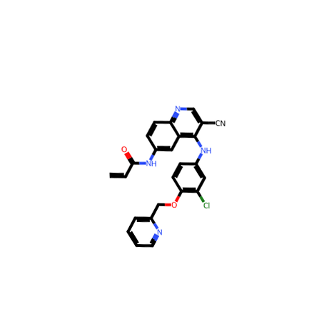 C=CC(=O)Nc1ccc2ncc(C#N)c(Nc3ccc(OCc4ccccn4)c(Cl)c3)c2c1